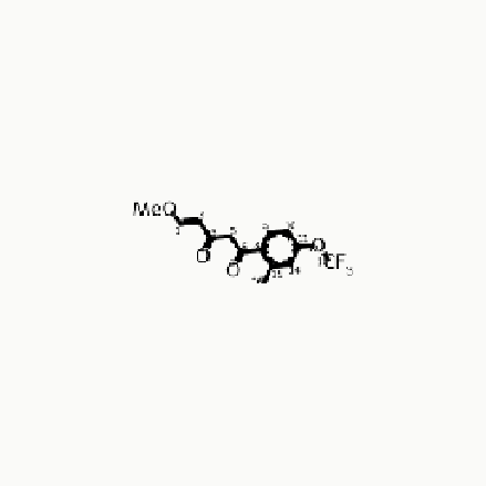 COC=CC(=O)CC(=O)c1ccc(OC(F)(F)F)cc1C